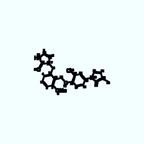 COc1cccc(Cn2nn[nH]c2=O)c1COc1ccc(-n2ccc(C)n2)cc1Cl